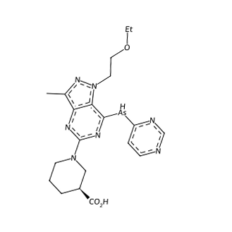 CCOCCn1nc(C)c2nc(N3CCC[C@H](C(=O)O)C3)nc([AsH]c3ccncn3)c21